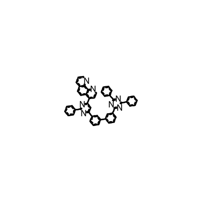 c1ccc(-c2nc(-c3cccc(-c4cccc(-c5nc(-c6ccccc6)nc(-c6ccccc6)n5)c4)c3)cc(-c3ccnc4c3ccc3cccnc34)n2)cc1